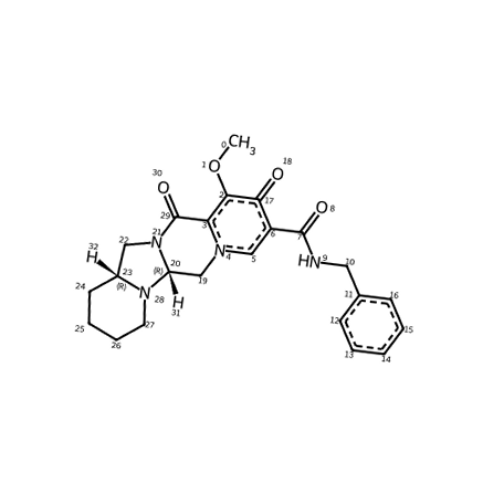 COc1c2n(cc(C(=O)NCc3ccccc3)c1=O)C[C@H]1N(C[C@H]3CCCCN31)C2=O